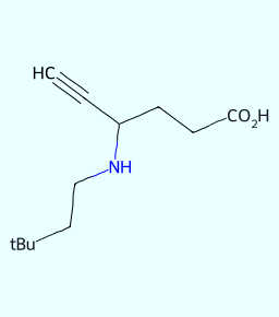 C#CC(CCC(=O)O)NCCC(C)(C)C